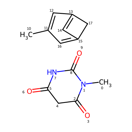 CN1C(=O)CC(=O)NC1=O.Cc1cc2cc(c1)C2